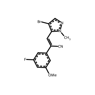 COc1cc(F)cc(/C(C#N)=C/c2c(Br)cnn2C)c1